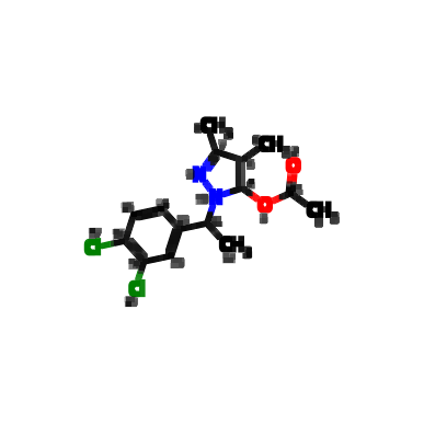 CC(=O)Oc1c(C)c(C)nn1C(C)c1ccc(Cl)c(Cl)c1